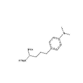 CCCCCCCC(CCCCCC)CCCc1ccc(N(C)C)cc1